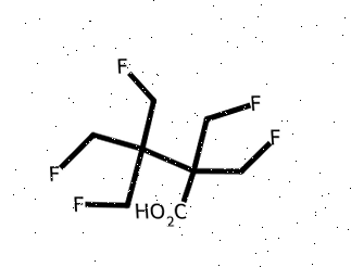 O=C(O)C(CF)(CF)C(CF)(CF)CF